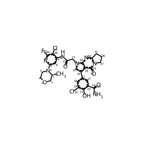 C[C@H]1COCCN1c1cc(NC(=O)Cn2cc(-c3cc(Cl)c(O)c(C(N)=O)c3)c3c(=O)n4c(nc32)CCC4)c(Cl)c(F)n1